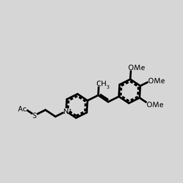 COc1cc(/C=C(\C)c2cc[n+](CCSC(C)=O)cc2)cc(OC)c1OC